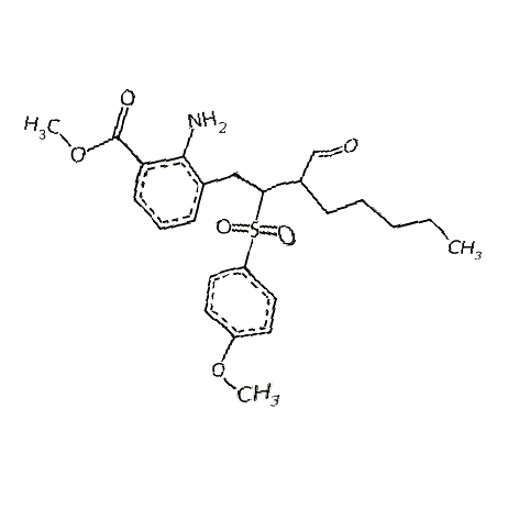 CCCCCC(C=O)C(Cc1cccc(C(=O)OC)c1N)S(=O)(=O)c1ccc(OC)cc1